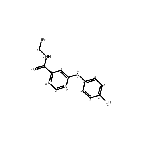 CC(C)CNC(=O)c1cc(Nc2ccc(O)cc2)ncn1